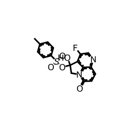 Cc1ccc(S(=O)(=O)OC2(O)Cn3c(=O)ccc4ncc(F)c2c43)cc1